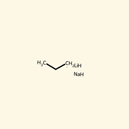 [CH2]CC.[LiH].[NaH]